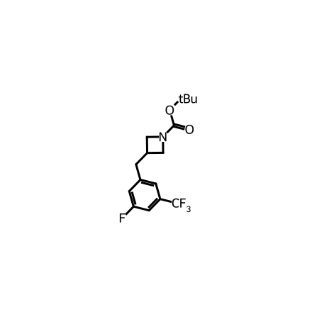 CC(C)(C)OC(=O)N1CC(Cc2cc(F)cc(C(F)(F)F)c2)C1